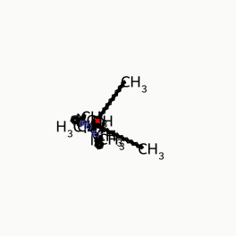 CCCCCCCCCCCCCCCCCCNC(=O)C1(C(=O)NCCCCCCCCCCCCCCCCCC)CC(/C=C/C2=Nc3ccccc3C2(C)C)=CC(=C/C=C2/N(CC)c3ccccc3C2(C)C)/C1